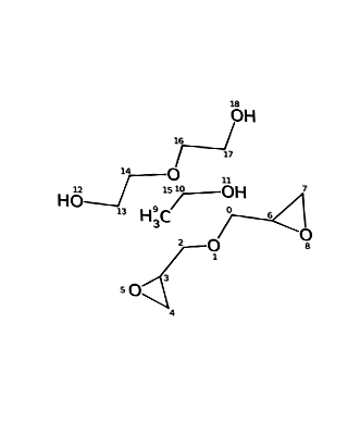 C(OCC1CO1)C1CO1.CCO.OCCOCCO